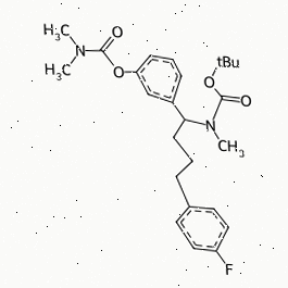 CN(C)C(=O)Oc1cccc(C(CCCc2ccc(F)cc2)N(C)C(=O)OC(C)(C)C)c1